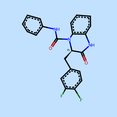 O=C1Nc2ccccc2N(C(=O)Nc2ccccc2)[C@@H]1Cc1ccc(F)c(F)c1